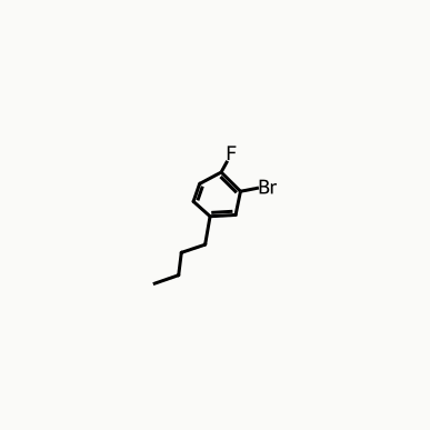 CCCCc1ccc(F)c(Br)c1